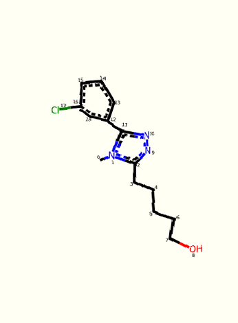 Cn1c(CCCCCO)nnc1-c1cccc(Cl)c1